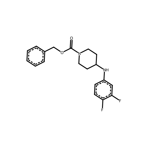 O=C(OCc1ccccc1)N1CCC(Nc2ccc(F)c(F)c2)CC1